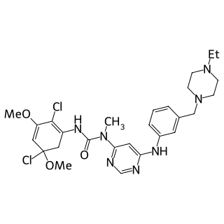 CCN1CCN(Cc2cccc(Nc3cc(N(C)C(=O)NC4=C(Cl)C(OC)=CC(Cl)(OC)C4)ncn3)c2)CC1